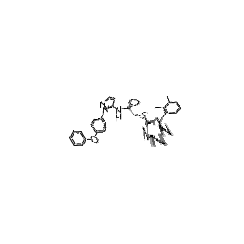 Cc1cccc(-n2nnnc2SCC(=O)Nc2ccnn2-c2ccc(Oc3ccccc3)cc2)c1C